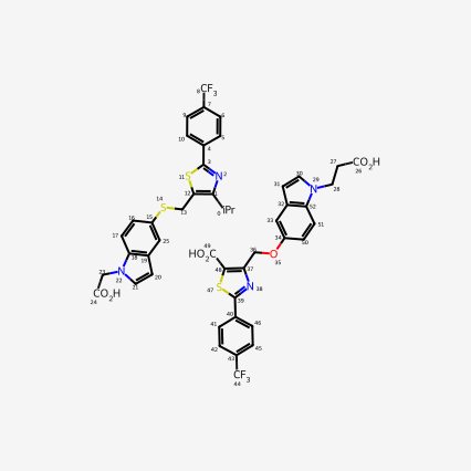 CC(C)c1nc(-c2ccc(C(F)(F)F)cc2)sc1CSc1ccc2c(ccn2CC(=O)O)c1.O=C(O)CCn1ccc2cc(OCc3nc(-c4ccc(C(F)(F)F)cc4)sc3C(=O)O)ccc21